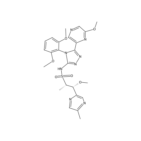 COc1cncc(-c2nnc(NS(=O)(=O)[C@@H](C)[C@H](OC)c3cnc(C)cn3)n2-c2c(OC)cccc2OC)n1